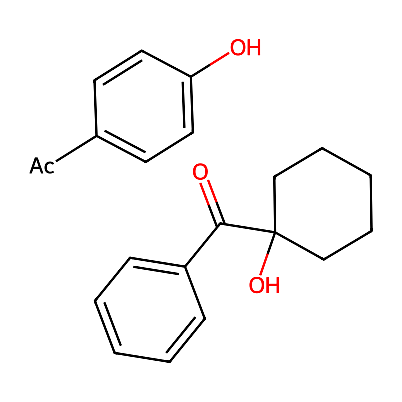 CC(=O)c1ccc(O)cc1.O=C(c1ccccc1)C1(O)CCCCC1